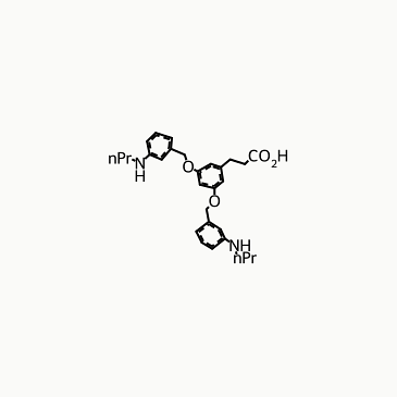 CCCNc1cccc(COc2cc(CCC(=O)O)cc(OCc3cccc(NCCC)c3)c2)c1